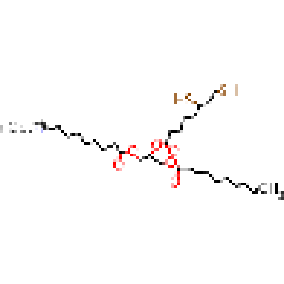 C=CCCCCCCCC(=O)OCC(COC(=O)CCCCCCC/C=C/CCCCCCCC)OC(=O)CCCCC(S)CCS